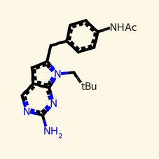 CC(=O)Nc1ccc(Cc2cc3cnc(N)nc3n2CC(C)(C)C)cc1